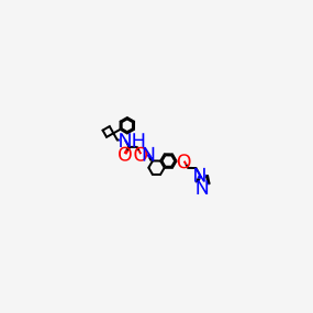 O=C(CON=C1CCCc2cc(OCCn3ccnc3)ccc21)NCC1(c2ccccc2)CCC1